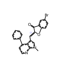 Cn1cc(/C=C2\Oc3ccc(Br)cc3C2=O)c2c(-c3ccccc3)ccnc21